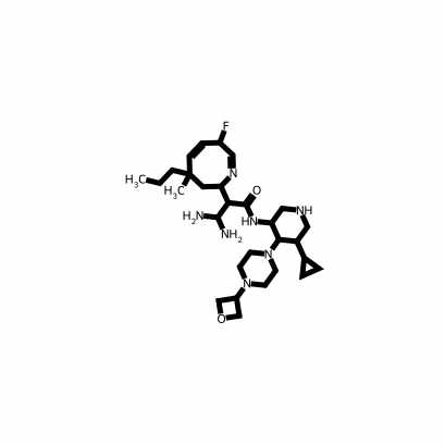 CCCC1(C)/C=C\C(F)/C=N\C(C(C(=O)NC2CNCC(C3CC3)C2N2CCN(C3COC3)CC2)C(N)N)C1